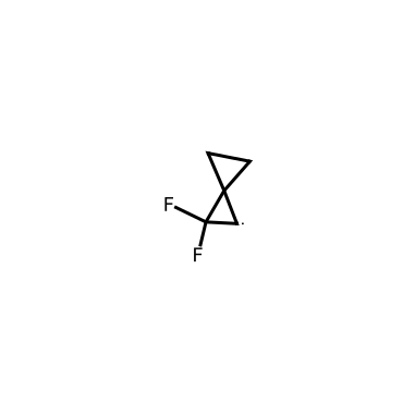 FC1(F)[CH]C12CC2